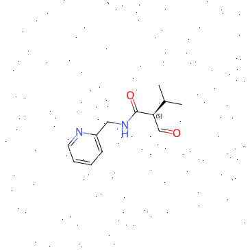 CC(C)[C@@H](C=O)C(=O)NCc1ccccn1